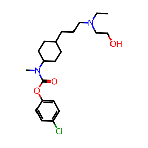 CCN(CCO)CCCC1CCC(N(C)C(=O)Oc2ccc(Cl)cc2)CC1